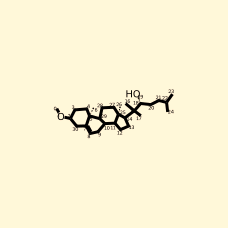 COC1CC[C@]2(C)C(=CCC3C4CCC(C(C)(C)[C@H](O)CCC(C)C)[C@]4(C)CCC32)C1